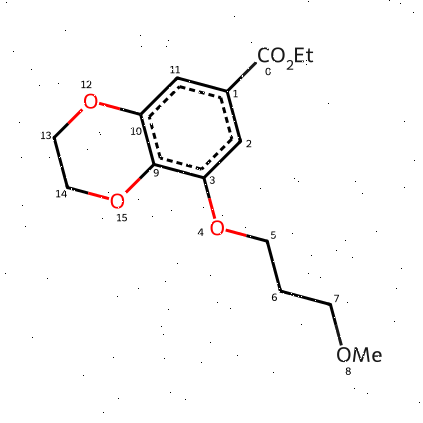 CCOC(=O)c1cc(OCCCOC)c2c(c1)OCCO2